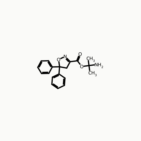 CC(C)(N)OC(=O)C1=NOC(c2ccccc2)(c2ccccc2)C1